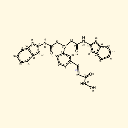 O=C(/C=C/c1cccc(N(CC(=O)Nc2nc3ccccc3s2)CC(=O)Nc2nc3ccccc3s2)c1)NO